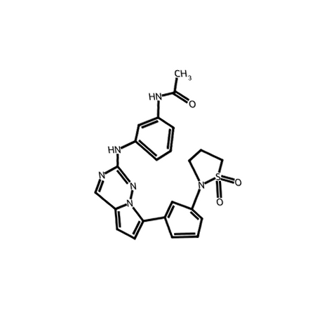 CC(=O)Nc1cccc(Nc2ncc3ccc(-c4cccc(N5CCCS5(=O)=O)c4)n3n2)c1